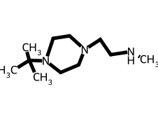 CNCCN1CCN(C(C)(C)C)CC1